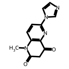 CN1C(=O)CC(=O)c2nc(-n3ccnc3)ccc21